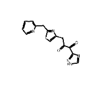 O=C(Cc1csc(Cc2ccccn2)n1)C(=O)c1nc[nH]n1